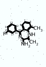 C=C1Nc2c(C)cccc2C(c2cccc(F)c2)=NC1N